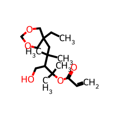 C=CC(=O)OC(C)(C)C(CO)C(C)(C)CC1(CC)COCOC1